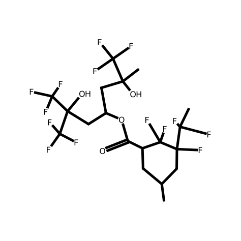 CC1CC(C(=O)OC(CC(C)(O)C(F)(F)F)CC(O)(C(F)(F)F)C(F)(F)F)C(F)(F)C(F)(C(C)(F)F)C1